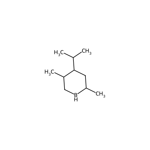 CC1BCC(C)C(C(C)C)C1